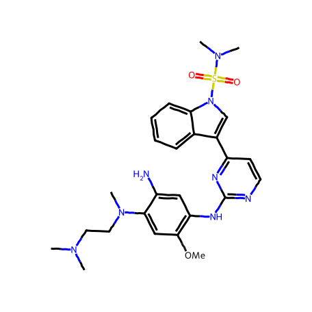 COc1cc(N(C)CCN(C)C)c(N)cc1Nc1nccc(-c2cn(S(=O)(=O)N(C)C)c3ccccc23)n1